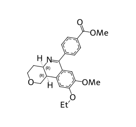 CCOc1cc2c(cc1OC)C(c1ccc(C(=O)OC)cc1)=N[C@@H]1CCOC[C@H]21